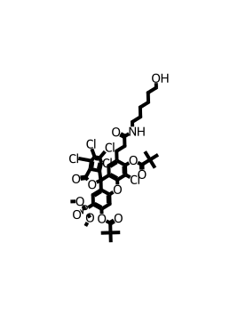 COP(=O)(OC)c1cc2c(cc1OC(=O)C(C)(C)C)Oc1c(cc(CCC(=O)NCCCCCCO)c(OC(=O)C(C)(C)C)c1Cl)C21OC(=O)c2c(Cl)c(Cl)c(Cl)c(Cl)c21